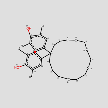 Cc1cc(C2(c3cc(C)c(O)c(C)c3)CCCCCCCCCCCCCC2)cc(C)c1O